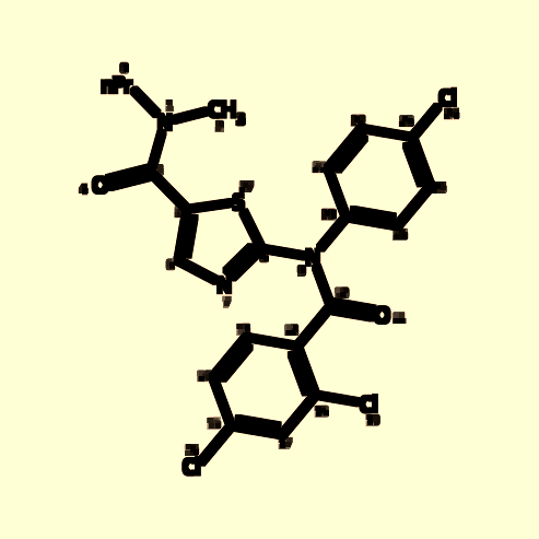 CCCN(C)C(=O)c1cnc(N(C(=O)c2ccc(Cl)cc2Cl)c2ccc(Cl)cc2)s1